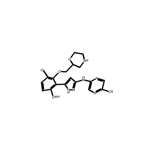 COc1ccc(Cl)c(OCC2CNCCO2)c1-c1cc(Nc2cnc(C#N)cn2)n[nH]1